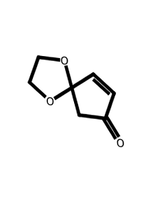 O=C1C=CC2(C1)OCCO2